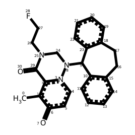 Cc1c2n(ccc1=O)N(C1c3ccccc3CCc3ccccc31)CN(CCF)C2=O